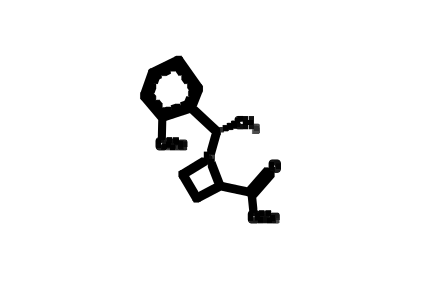 COC(=O)C1CCN1[C@@H](C)c1ccccc1OC